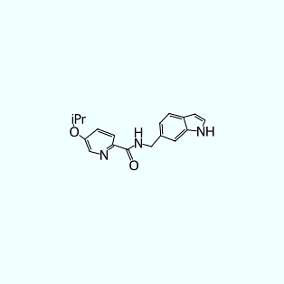 CC(C)Oc1ccc(C(=O)NCc2ccc3cc[nH]c3c2)nc1